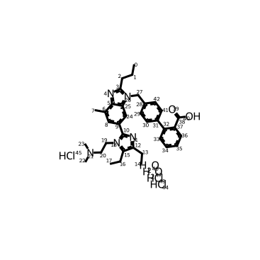 CCCc1nc2c(C)cc(-c3nc(CC)c(CC)n3CCN(C)C)cc2n1Cc1ccc(-c2ccccc2C(=O)O)cc1.Cl.Cl.Cl.O.O